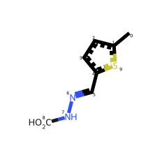 Cc1ccc(/C=N/NC(=O)O)s1